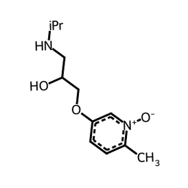 Cc1ccc(OCC(O)CNC(C)C)c[n+]1[O-]